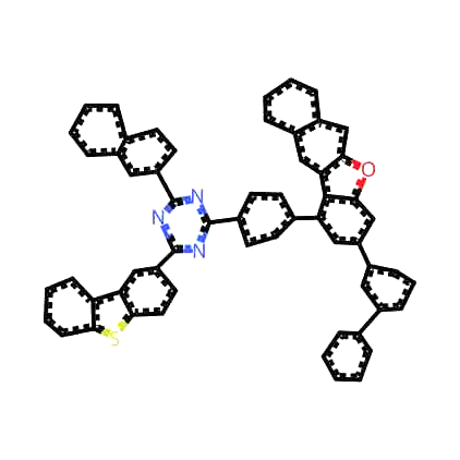 c1ccc(-c2cccc(-c3cc(-c4ccc(-c5nc(-c6ccc7ccccc7c6)nc(-c6ccc7sc8ccccc8c7c6)n5)cc4)c4c(c3)oc3cc5ccccc5cc34)c2)cc1